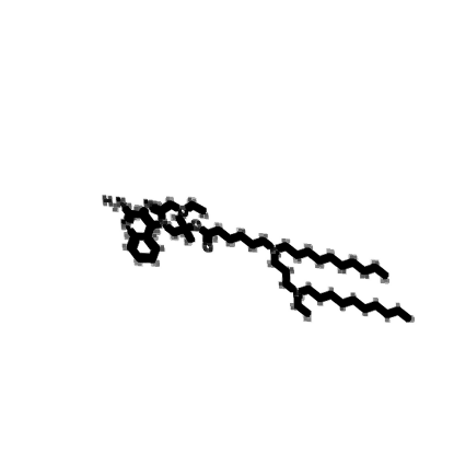 CCCCCCCCCCN(CC)CCCN(CCCCCCCCCC)CCCCCC(=O)OC(C)(C)Cn1c(COCC)nc2c(N)nc3ccccc3c21